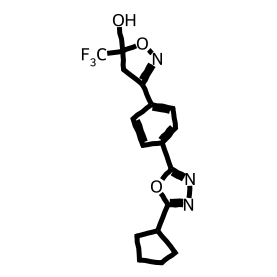 OC1(C(F)(F)F)CC(c2ccc(-c3nnc(C4CCCC4)o3)cc2)=NO1